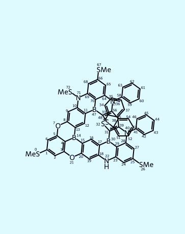 CSc1cc2c3c(c1)Oc1cc4c(cc1B3c1cc3c(cc1O2)Nc1cc(SC)cc2c1B3c1sc3ccccc3c1N2c1ccccc1)B1c2sc3ccccc3c2N(c2ccccc2)c2cc(SC)cc(c21)N4SC